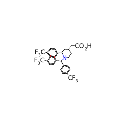 O=C(O)C[C@@H]1CCN(C(c2ccc(C(F)(F)F)cc2)c2ccc(C(F)(F)F)cc2)[C@H](c2ccc(C(F)(F)F)cc2)C1